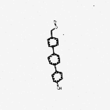 CCOCc1ccc(-c2ccc(-c3ccc(C#N)cc3)cc2)cc1